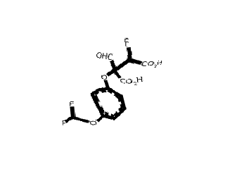 O=CC(Oc1cccc(OC(F)F)c1)(C(=O)O)C(F)C(=O)O